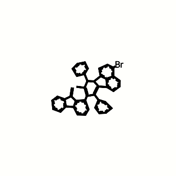 C=C1c2ccccc2-c2cccc(C3=C(C)C(c4ccccc4)C4C(=C3c3ccccc3)c3cccc5c(Br)ccc4c35)c21